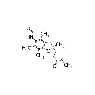 CSC(=O)CCC1(C)Cc2c(C)c(NC=O)c(C)c(C)c2O1